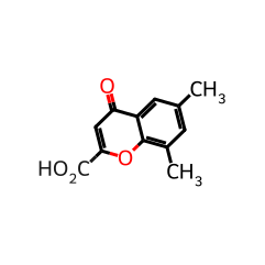 Cc1cc(C)c2oc(C(=O)O)cc(=O)c2c1